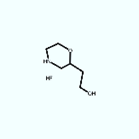 F.OCCC1CNCCO1